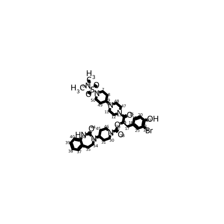 CN(C)S(=O)(=O)N1CCC(N2CCN(C(=O)[C@@H](Cc3ccc(O)c(Br)c3)OC(=O)N3CCC(N4CCc5ccccc5NC4=O)CC3)CC2)CC1